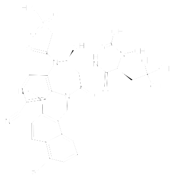 COc1ccc2c(Br)cccc2c1CN1C(=O)[C@@H](NC(=O)[C@H](CC(C)(C)C)N(C)C(=O)O)[C@H](C)N(C(=O)CS(C)(=O)=O)c2ccc(C#N)cc21